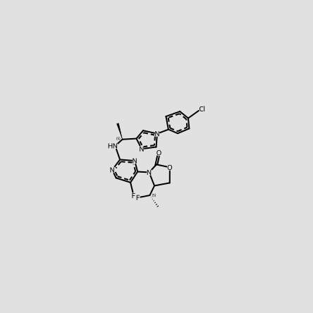 C[C@H](Nc1ncc(F)c(N2C(=O)OCC2[C@H](C)F)n1)c1cn(-c2ccc(Cl)cc2)cn1